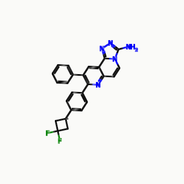 Nc1nnc2c3cc(-c4ccccc4)c(-c4ccc([C]5CC(F)(F)C5)cc4)nc3ccn12